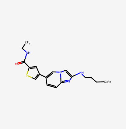 COCCCNc1cn2cc(-c3csc(C(=O)NCC(F)(F)F)c3)ccc2n1